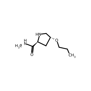 CCCO[C@H]1CN[C@H](C(=O)NC)C1